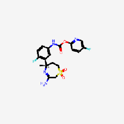 C[C@@]1(c2cc(NC(=O)Oc3ccc(F)cn3)ccc2F)CCS(=O)(=O)CC(N)=N1